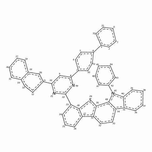 c1ccc(-c2ccc(-c3cc(-c4ccc5ccccc5c4)nc(-c4cccc5c4sc4c5ccc5c6ccccc6n(-c6ccccc6)c54)n3)cc2)cc1